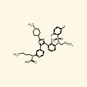 CCCCN(C(=O)O)c1cc(-c2sc(C3CCN(C)CC3)nc2-c2cccc(N(COC)S(=O)(=O)c3cc(F)ccc3F)c2F)ccn1